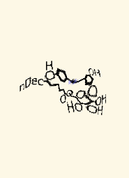 CCCCCCCCCCCCCCCC(=O)OCC1OC(Oc2cc(O)cc(/C=C/c3ccc(O)cc3)c2)C(O)C(O)C1O